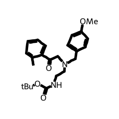 COc1ccc(CN(CCNC(=O)OC(C)(C)C)CC(=O)c2ccccc2C)cc1